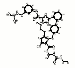 CCCCc1nc(Cl)c(C(=O)OC(C)OC(=O)OCC)n1Cc1ccc(-c2ccccc2-c2nnn(C(=O)Oc3cccc(CON(O)O)c3)n2)cc1